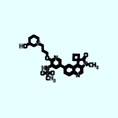 CN1C(=O)C2(CCC2)c2c1cnc1ccc(-c3cnc(OCCCN4CCCC(O)C4)c(NS(C)(=O)=O)c3)cc21